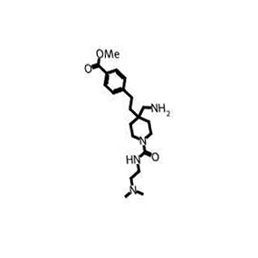 COC(=O)c1ccc(CCC2(CN)CCN(C(=O)NCCN(C)C)CC2)cc1